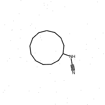 N#CNC1CCCCCCCCCCCC1